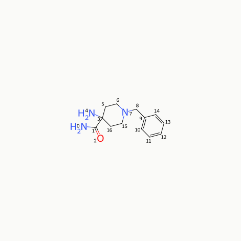 NC(=O)C1(N)CCN(Cc2ccccc2)CC1